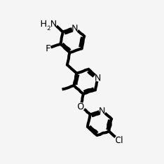 Cc1c(Cc2ccnc(N)c2F)cncc1Oc1ccc(Cl)cn1